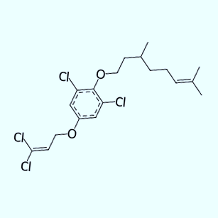 CC(C)=CCCC(C)CCOc1c(Cl)cc(OCC=C(Cl)Cl)cc1Cl